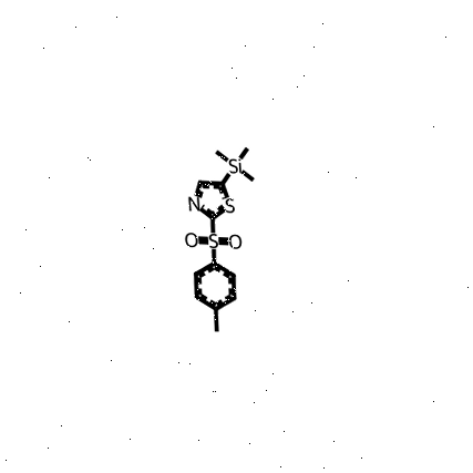 Cc1ccc(S(=O)(=O)c2ncc([Si](C)(C)C)s2)cc1